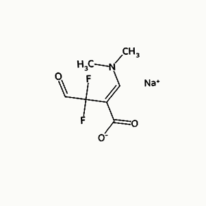 CN(C)C=C(C(=O)[O-])C(F)(F)C=O.[Na+]